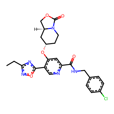 CCc1noc(-c2cnc(C(=O)NCc3ccc(Cl)cc3)cc2O[C@H]2CCN3C(=O)OC[C@@H]3C2)n1